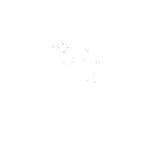 CCOC1=Nc2cccc(C(=O)[O-])c2[N+]1(CCOC(=O)OC1CCCCC1)Cc1ccc(-c2ccccc2-c2nnn[nH]2)cc1